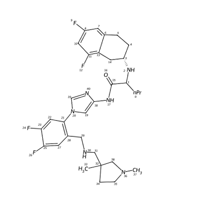 CCCC(N[C@H]1CCc2cc(F)cc(F)c2C1)C(=O)Nc1cn(-c2cc(F)c(F)cc2CNCC2(C)CCN(C)C2)cn1